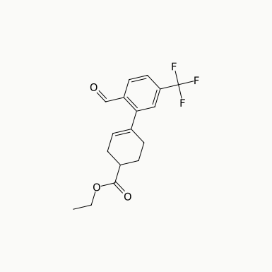 CCOC(=O)C1CC=C(c2cc(C(F)(F)F)ccc2C=O)CC1